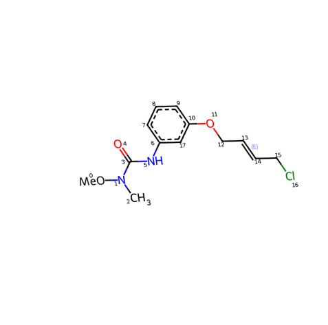 CON(C)C(=O)Nc1cccc(OC/C=C/CCl)c1